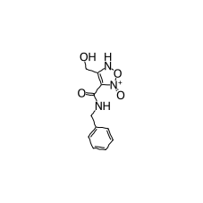 O=C(NCc1ccccc1)c1c(CO)[nH]o[n+]1=O